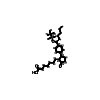 CCCCC[C@H](O[Si](C)(C)C(C)(C)C)c1ccc(C2CCC(=O)C2CCCCCCC(=O)O)cc1